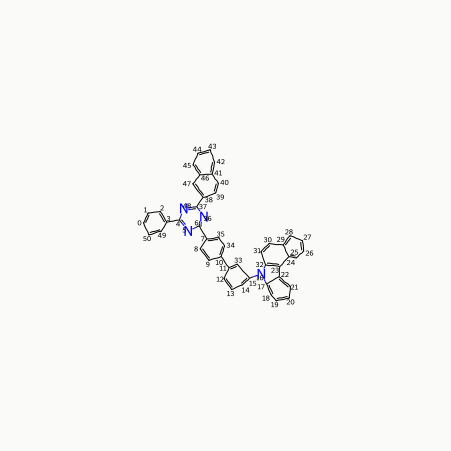 c1ccc(-c2nc(-c3ccc(-c4cccc(-n5c6ccccc6c6c7ccccc7ccc65)c4)cc3)nc(-c3ccc4ccccc4c3)n2)cc1